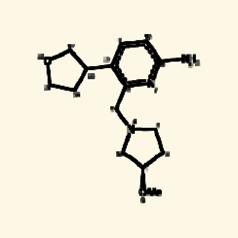 CO[C@@H]1CCN(Cc2nc(N)ccc2C2CCOC2)C1